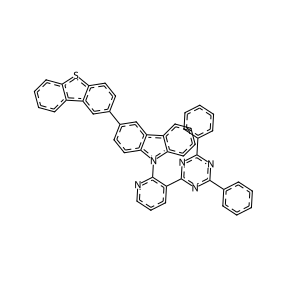 c1ccc(-c2nc(-c3ccccc3)nc(-c3cccnc3-n3c4ccccc4c4cc(-c5ccc6sc7ccccc7c6c5)ccc43)n2)cc1